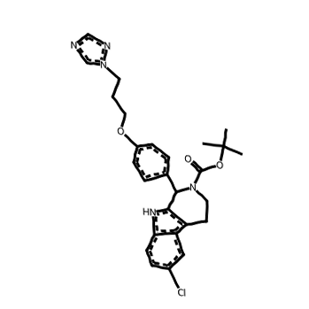 CC(C)(C)OC(=O)N1CCc2c([nH]c3ccc(Cl)cc23)C1c1ccc(OCCCn2cncn2)cc1